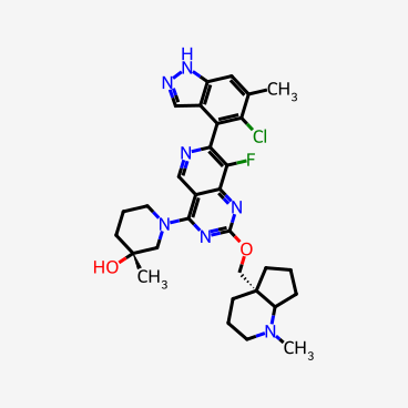 Cc1cc2[nH]ncc2c(-c2ncc3c(N4CCC[C@@](C)(O)C4)nc(OC[C@]45CCCC4N(C)CCC5)nc3c2F)c1Cl